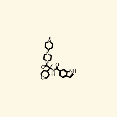 CN1CCC(N2CCN(C(=O)[C@](C)(NC(=O)c3ccc4cc[nH]c4c3)C3CCOCC3)CC2)CC1